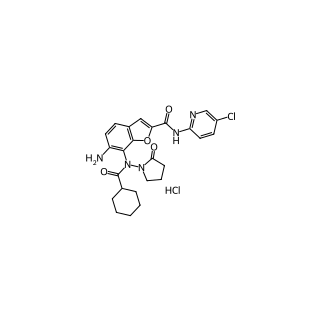 Cl.Nc1ccc2cc(C(=O)Nc3ccc(Cl)cn3)oc2c1N(C(=O)C1CCCCC1)N1CCCC1=O